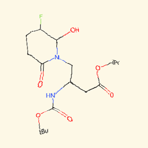 CC(C)OC(=O)CC(CN1C(=O)CCC(F)C1O)NC(=O)OC(C)(C)C